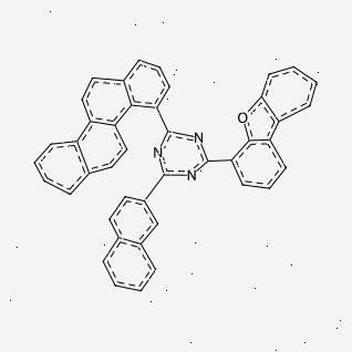 c1ccc2cc(-c3nc(-c4cccc5c4oc4ccccc45)nc(-c4cccc5ccc6c7ccccc7ccc6c45)n3)ccc2c1